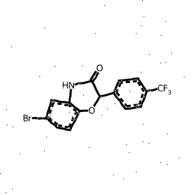 O=C1Nc2cc(Br)ccc2OC1c1ccc(C(F)(F)F)cc1